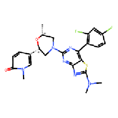 C[C@@H]1CN(c2nc(-c3ccc(F)cc3F)c3sc(N(C)C)nc3n2)C[C@H](c2ccc(=O)n(C)c2)O1